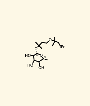 CC(C)CC(C)(C)OCCC(C)(C)O[C@@H]1O[C@@H](C)C(O)C(O)C1O